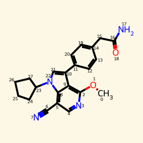 COc1ncc(C#N)c2c1c(-c1ccc(CC(N)=O)cc1)cn2C1CCCC1